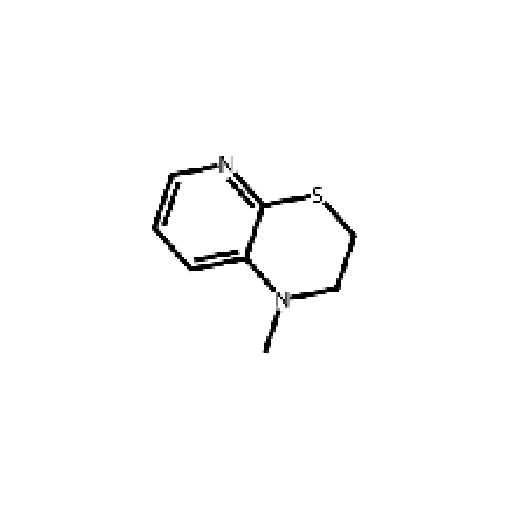 CN1CCSc2ncccc21